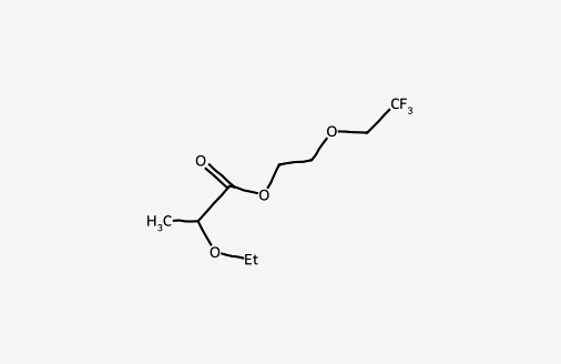 CCOC(C)C(=O)OCCOCC(F)(F)F